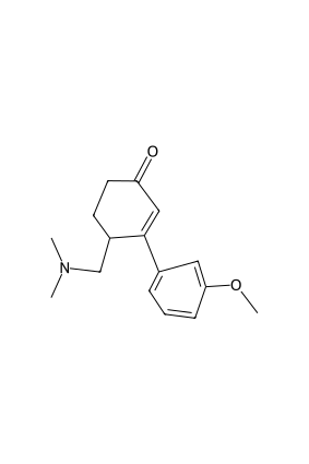 COc1cccc(C2=CC(=O)CCC2CN(C)C)c1